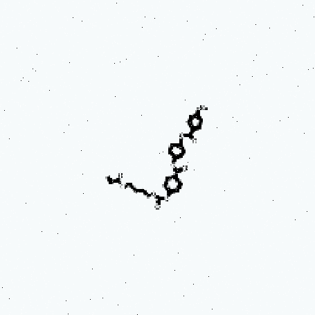 C=CC(=O)OCCCCOC(=O)Oc1ccc(C(=O)Oc2ccc(OC(=O)c3ccc(CCCC)cc3)cc2)cc1